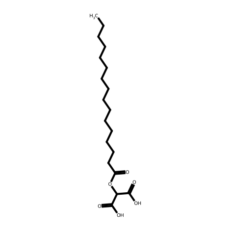 CCCCCCCCCCCCCCCC(=O)OC(C(=O)O)C(=O)O